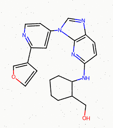 OCC1CCCCC1Nc1ccc2ncn(-c3ccnc(-c4ccoc4)c3)c2n1